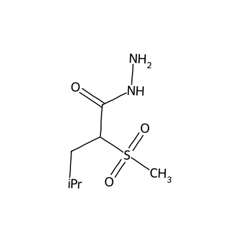 CC(C)CC(C(=O)NN)S(C)(=O)=O